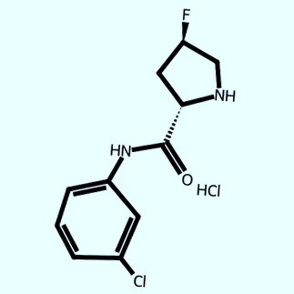 Cl.O=C(Nc1cccc(Cl)c1)[C@@H]1C[C@@H](F)CN1